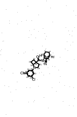 N#CN1[C@H]2CC[C@@H]1[C@H](NC(=O)C13CCC1N(c1cc(Cl)cc(Cl)c1)CC3)C2